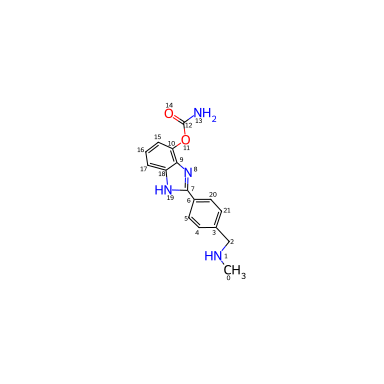 CNCc1ccc(-c2nc3c(OC(N)=O)cccc3[nH]2)cc1